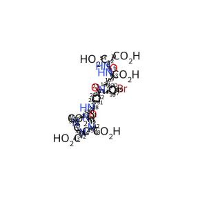 O=C(O)CCC(NC(=O)NC(CCCCN(Cc1ccc(Br)cc1)C(=O)c1ccc(CNC(=O)CN2CCN(CC(=O)O)CCN(CC(=O)O)CCN(CC(=O)O)CC2)cc1)C(=O)O)C(=O)O